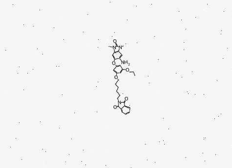 CCCOc1cc(OCCCCCCN2C(=O)c3ccccc3C2=O)cc(Oc2cc3c(cc2N)n(C)c(=O)n3C)c1